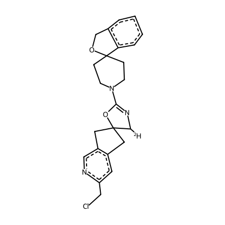 [2H]C1N=C(N2CCC3(CC2)OCc2ccccc23)OC12Cc1cnc(CCl)cc1C2